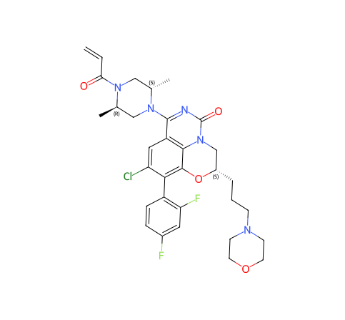 C=CC(=O)N1C[C@H](C)N(c2nc(=O)n3c4c(c(-c5ccc(F)cc5F)c(Cl)cc24)O[C@@H](CCCN2CCOCC2)C3)C[C@H]1C